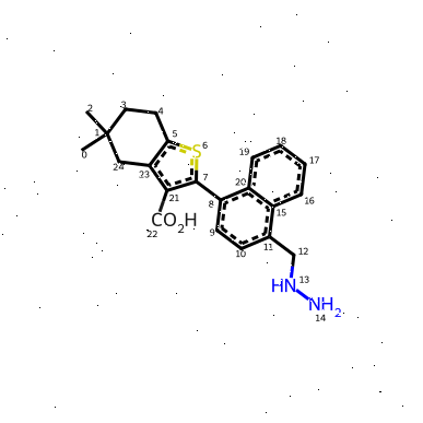 CC1(C)CCc2sc(-c3ccc(CNN)c4ccccc34)c(C(=O)O)c2C1